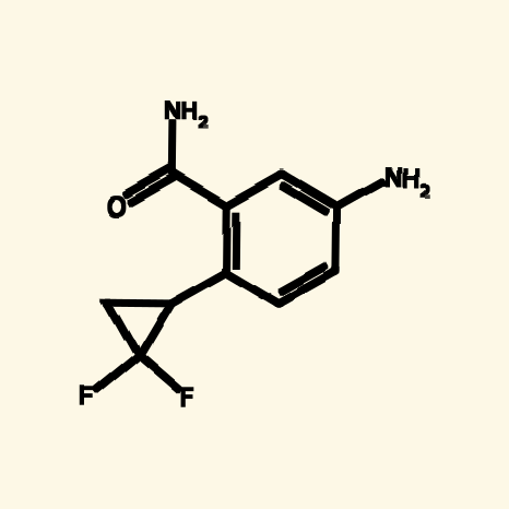 NC(=O)c1cc(N)ccc1C1CC1(F)F